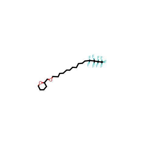 FC(F)(F)C(F)(F)C(F)(F)C(F)(F)CCCCCCCCCCCOCC1CCCCO1